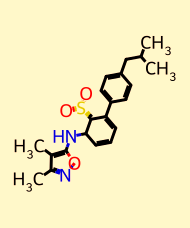 Cc1noc(NC2C=CC=C(c3ccc(CC(C)C)cc3)C2=S(=O)=O)c1C